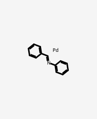 C(=Nc1ccccc1)c1ccccc1.[Pd]